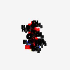 C=C(OC)C(=O)Nc1cc(OC)c(OC)cc1C(=O)O[C@H]1CC(O[C@@H]2C(=O)C(NC(=O)OC)=C3/C(=C\CSSSC)[C@]2(O)C#C/C=C\C#C[C@@H]3O[C@@H]2O[C@H](C)[C@@H](NO[C@H]3C[C@H](O)[C@H](SC)[C@@H](C)O3)[C@H](O)[C@H]2O[C@H]2C[C@H](OC)[C@@H](NC(C)C)CO2)O[C@@H](C)[C@@H]1O